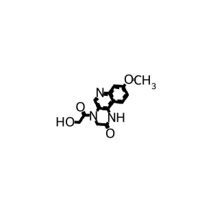 COc1ccc2c3c(cnc2c1)N(C(=O)CO)CC(=O)N3